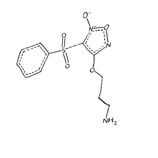 NCCCOc1no[n+]([O-])c1S(=O)(=O)c1ccccc1